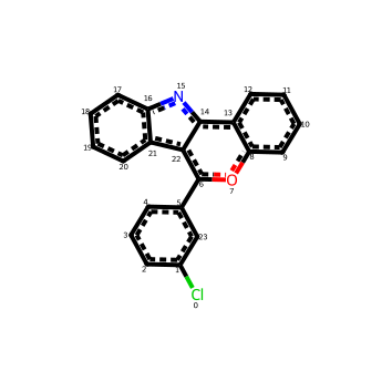 Clc1cccc(-c2oc3ccccc3c3nc4ccccc4c2-3)c1